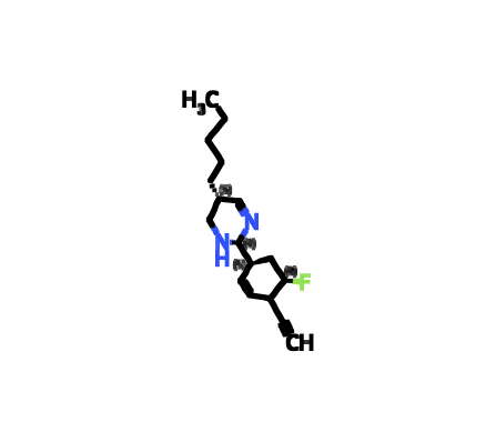 C#CC1C=C[C@@H]([C@H]2N=C[C@@H](CCCCC)CN2)C[C@H]1F